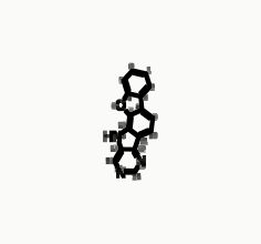 c1ccc2c(c1)oc1c2ccc2c3ncncc3[nH]c21